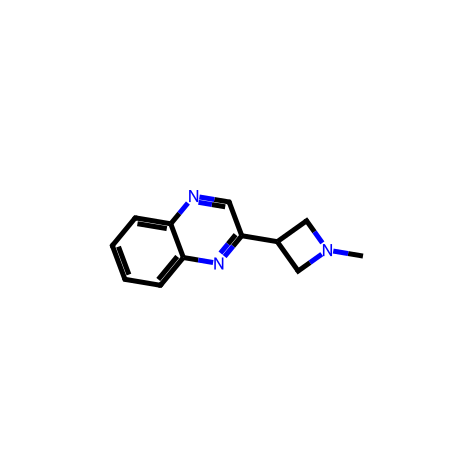 CN1CC(c2cnc3ccccc3n2)C1